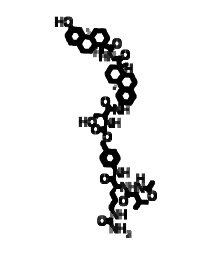 CC(=O)N[C@H](C(=O)N[C@@H](CCCNC(N)=O)C(=O)Nc1ccc(COC(=O)N[C@@H](CO)C(=O)Nc2ccc3c(c2)[C@@]2(C)CCC[C@](C)(C(=O)NC(=O)[C@@]4(C)CCC[C@]5(C)c6cc(O)ccc6CC[C@@H]45)[C@@H]2CC3)cc1)C(C)C